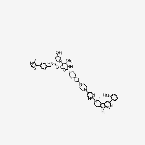 Cc1ncsc1-c1ccc(CNC(=O)[C@@H]2C[C@@H](O)CN2C(=O)[C@@H](NC(=O)[C@H]2CCC3(CC2)C[C@H](N2CCN(c4cnc(N5CCc6[nH]c7nnc(-c8ccccc8O)cc7c6[C@H]5C)nc4)CC2)C3)C(C)(C)C)cc1